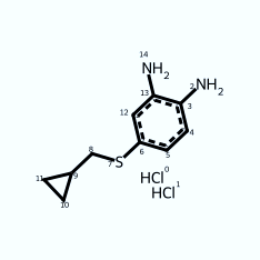 Cl.Cl.Nc1ccc(SCC2CC2)cc1N